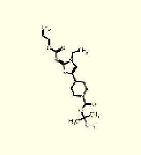 C=CCOC(=O)N=c1sc(C2CCN(C(=O)OC(C)(C)C)CC2)cn1CC